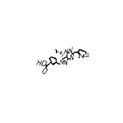 Nc1nc(-c2ccsn2)nc2nn(Cc3cccc(C(=O)O)c3)cc12